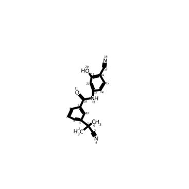 CC(C)(C#N)c1cccc(C(=O)Nc2ccc(C#N)c(O)c2)c1